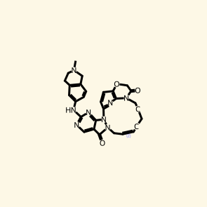 CN1CCc2cc(Nc3ncc4c(=O)n5n(c4n3)-c3ccc4c(n3)N(CCCC/C=C\C5)C(=O)CO4)ccc2C1